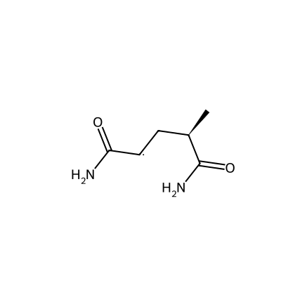 C[C@H](C[CH]C(N)=O)C(N)=O